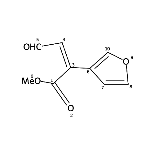 COC(=O)C(=CC=O)c1ccoc1